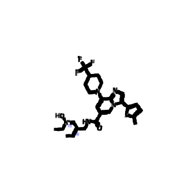 C/C=C(\C=[N+](\O)CC)CNC(=O)c1cc(N2CCC(C(F)(F)F)CC2)c2ncc(-c3ccc(C)s3)n2c1